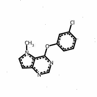 Cn1ccc2ncnc(Oc3cc[c]c(Cl)c3)c21